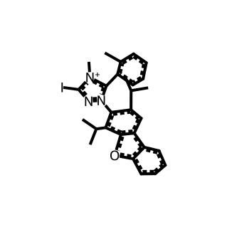 Cc1ccccc1-c1n(-c2c(C(C)C)cc3c(oc4ccccc43)c2C(C)C)nc(I)[n+]1C